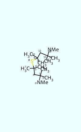 CNC(C)(C)CC(C)(C)SC(C)(C)CC(C)(C)NC